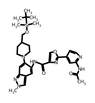 CC(=O)Nc1cc(-c2nc(C(=O)Nc3cc4cn(C)nc4cc3N3CCC(CO[Si](C)(C)C(C)(C)C)CC3)co2)ccn1